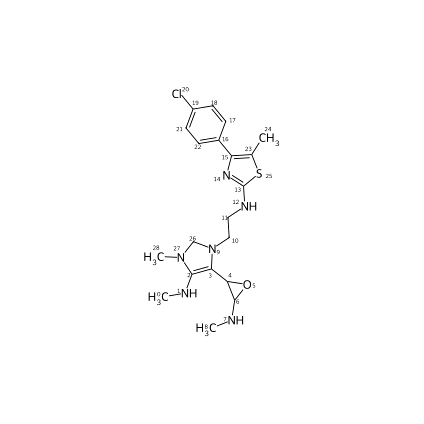 CNC1=C(C2OC2NC)N(CCNc2nc(-c3ccc(Cl)cc3)c(C)s2)CN1C